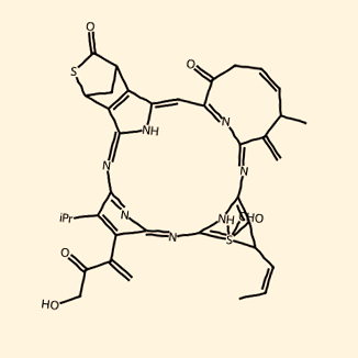 C=C(C(=O)CO)C1=C(C(C)C)c2nc1nc1[nH]c(nc3nc(cc4[nH]c(n2)c2c4C4CC2SC4=O)C(=O)C/C=C\C(C)C3=C)=C2C(/C=C\C)S=12(C)C=O